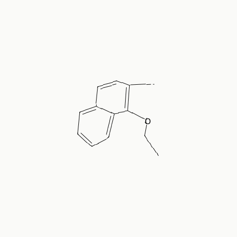 [CH2]c1ccc2ccccc2c1OCC